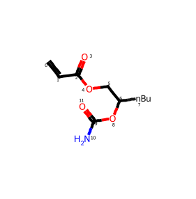 C=CC(=O)OCC(CCCC)OC(N)=O